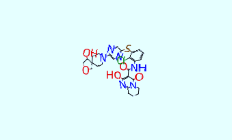 O=C(Nc1cccc(Sc2cnc(N3CCC4(CC3)COC[C@H]4O)cn2)c1Cl)c1c(O)nc2n(c1=O)CCCC2